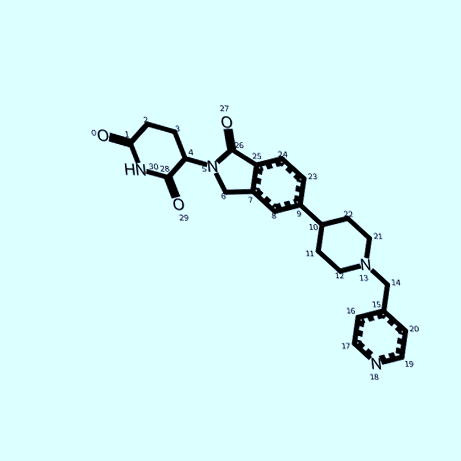 O=C1CCC(N2Cc3cc(C4CCN(Cc5ccncc5)CC4)ccc3C2=O)C(=O)N1